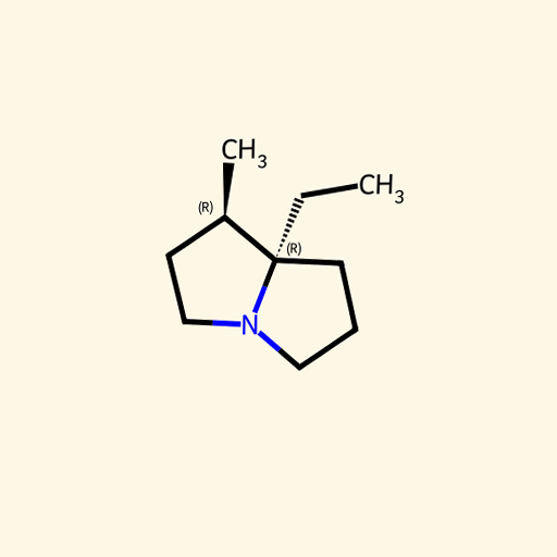 CC[C@]12CCCN1CC[C@H]2C